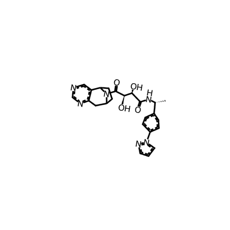 C[C@@H](NC(=O)[C@H](O)[C@@H](O)C(=O)N1C2CCC1c1cncnc1C2)c1ccc(-n2cccn2)cc1